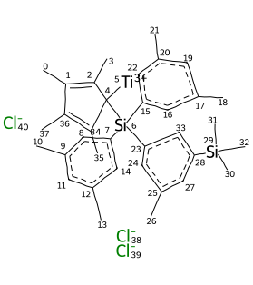 CC1=C(C)[C]([Ti+3])([Si](c2cc(C)cc(C)c2)(c2cc(C)cc(C)c2)c2cc(C)cc([Si](C)(C)C)c2)C(C)=C1C.[Cl-].[Cl-].[Cl-]